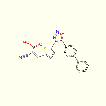 N#C/C(=C/c1ccc(-c2nnoc2-c2ccc(-c3ccccc3)cc2)s1)C(=O)O